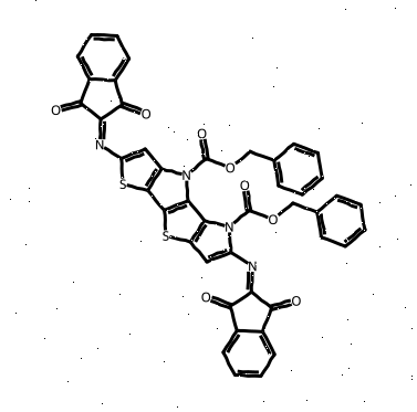 O=C(OCc1ccccc1)n1c(N=c2c(=O)c3ccccc3c2=O)cc2sc3c4sc(N=c5c(=O)c6ccccc6c5=O)cc4n(C(=O)OCc4ccccc4)c3c21